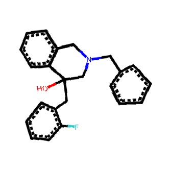 OC1(Cc2ccccc2F)CN(Cc2ccccc2)Cc2ccccc21